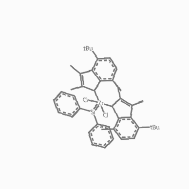 CC1=C(C)[CH]([Zr]([Cl])([Cl])([CH]2C(C)=C(C)c3c(C(C)(C)C)ccc(C)c32)=[Si](c2ccccc2)c2ccccc2)c2c(C)ccc(C(C)(C)C)c21